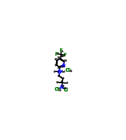 CC(C)(CC[N+](C)(C)c1ccc(C(F)(F)F)cn1)N(Cl)Cl.[Cl-]